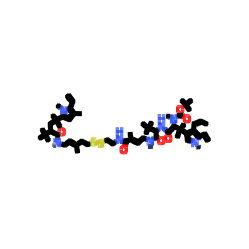 C=Cc1c(/C=C\C)c(C(C)(C)C(C(=O)NC(C(=O)N(C)C/C=C(\C)C(=O)NCCSSCC/C(C)=C/CN(C)C(=O)C(CC(C)(C)c2cc(C)c(C=C)n2C)C(C)(C)C)C(C)(C)C)N(C)C(=O)OC(C)(C)C)cn1C